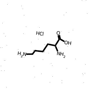 Cl.NC[CH][CH]CC(N)C(=O)O